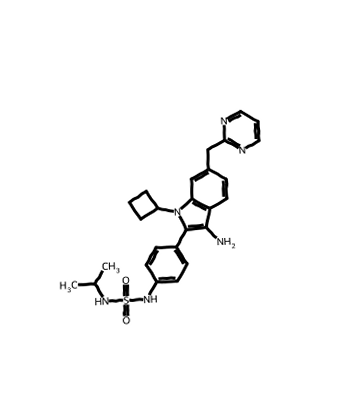 CC(C)NS(=O)(=O)Nc1ccc(-c2c(N)c3ccc(Cc4ncccn4)cc3n2C2CCC2)cc1